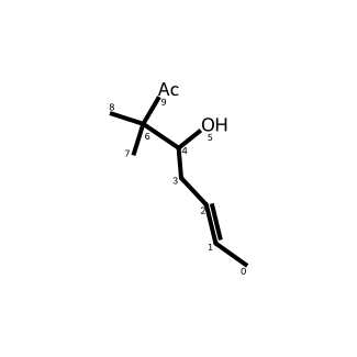 C/C=C/CC(O)C(C)(C)C(C)=O